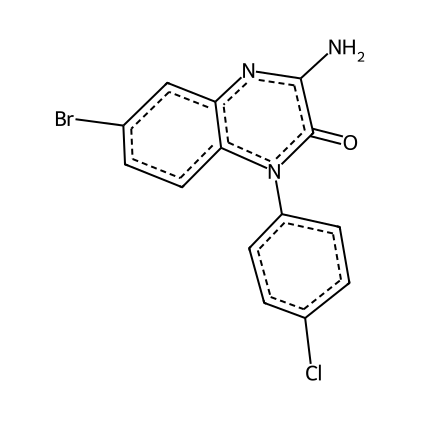 Nc1nc2cc(Br)ccc2n(-c2ccc(Cl)cc2)c1=O